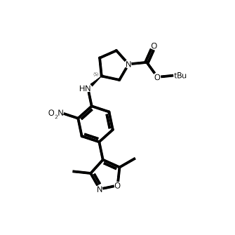 Cc1noc(C)c1-c1ccc(N[C@H]2CCN(C(=O)OC(C)(C)C)C2)c([N+](=O)[O-])c1